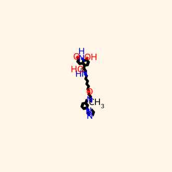 CN(CCOCCCCCCNC[C@H](O)c1ccc(O)c2[nH]c(=O)ccc12)Cc1cccc(N2C=NC=CC2)c1